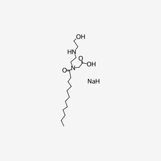 CCCCCCCCCCCC(=O)N(CCNCCO)CC(=O)O.[NaH]